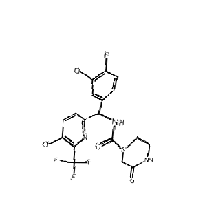 O=C1CN(C(=O)NC(c2ccc(F)c(Cl)c2)c2ccc(Cl)c(C(F)(F)F)n2)CCN1